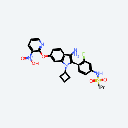 CCCS(=O)(=O)Nc1ccc(-c2c(N)c3ccc(Oc4ncccc4[N+](=O)O)cc3n2C2CCC2)c(F)c1